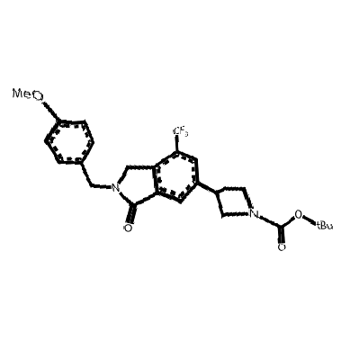 COc1ccc(CN2Cc3c(cc(C4CN(C(=O)OC(C)(C)C)C4)cc3C(F)(F)F)C2=O)cc1